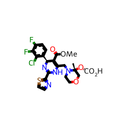 COC(=O)C1=C(CN2CCOC[C@@]2(C)OC(=O)O)NC(c2nccs2)=N[C@H]1c1ccc(F)c(F)c1Cl